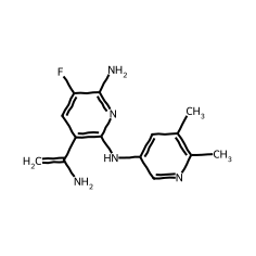 C=C(N)c1cc(F)c(N)nc1Nc1cnc(C)c(C)c1